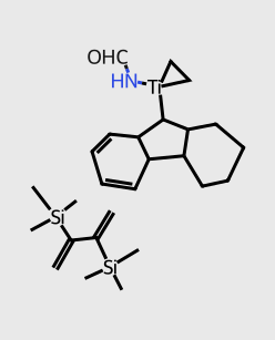 C=C(C(=C)[Si](C)(C)C)[Si](C)(C)C.O=C[NH][Ti]1([CH]2C3C=CC=CC3C3CCCCC32)[CH2][CH2]1